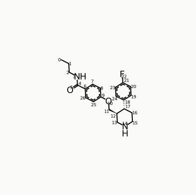 CCCNC(=O)c1ccc(OC[C@@H]2CNCC[C@H]2c2ccc(F)cc2)cc1